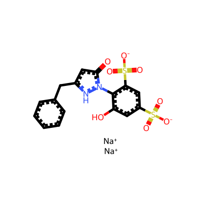 O=c1cc(Cc2ccccc2)[nH]n1-c1c(O)cc(S(=O)(=O)[O-])cc1S(=O)(=O)[O-].[Na+].[Na+]